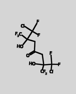 O=C(CC(O)(C(F)(F)F)C(F)(F)Cl)CC(O)(C(F)(F)F)C(F)(F)Cl